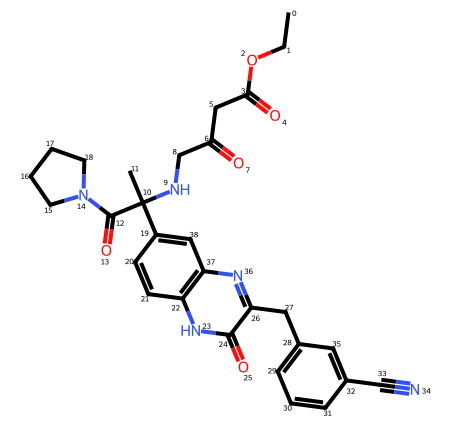 CCOC(=O)CC(=O)CNC(C)(C(=O)N1CCCC1)c1ccc2[nH]c(=O)c(Cc3cccc(C#N)c3)nc2c1